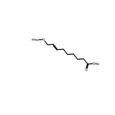 CCCCCCOCC=CCCCCCC(=O)OC